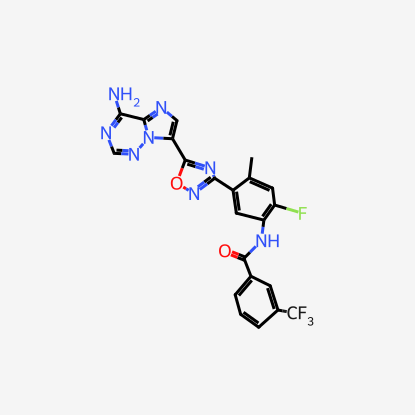 Cc1cc(F)c(NC(=O)c2cccc(C(F)(F)F)c2)cc1-c1noc(-c2cnc3c(N)ncnn23)n1